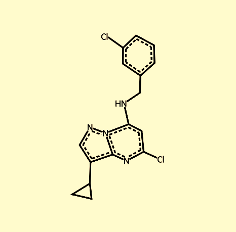 Clc1cccc(CNc2cc(Cl)nc3c(C4CC4)cnn23)c1